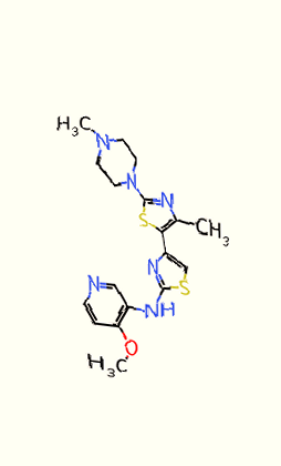 COc1ccncc1Nc1nc(-c2sc(N3CCN(C)CC3)nc2C)cs1